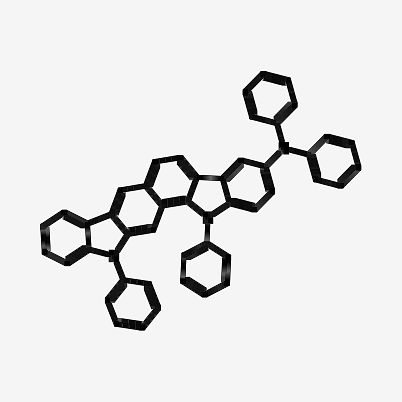 c1ccc(N(c2ccccc2)c2ccc3c(c2)c2ccc4cc5c6ccccc6n(-c6ccccc6)c5cc4c2n3-c2ccccc2)cc1